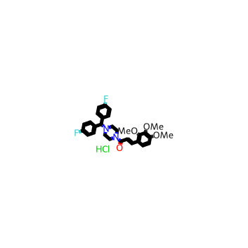 COc1ccc(C=CC(=O)N2CCN(C(c3ccc(F)cc3)c3ccc(F)cc3)CC2)c(OC)c1OC.Cl